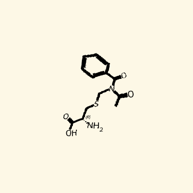 CC(=O)N(CSC[C@H](N)C(=O)O)C(=O)c1ccccc1